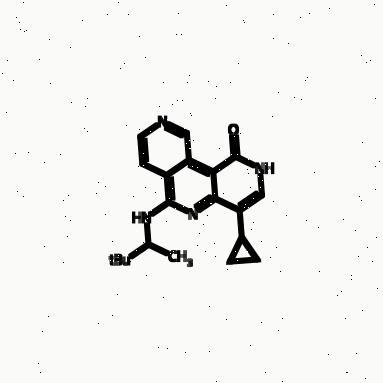 CC(Nc1nc2c(C3CC3)c[nH]c(=O)c2c2cnccc12)C(C)(C)C